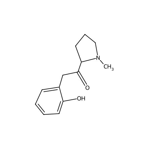 CN1CCCC1C(=O)Cc1ccccc1O